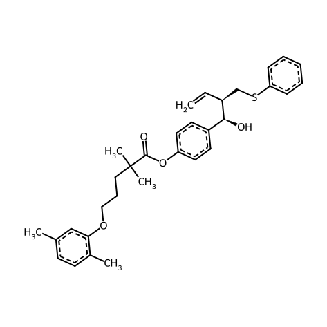 C=C[C@@H](CSc1ccccc1)[C@@H](O)c1ccc(OC(=O)C(C)(C)CCCOc2cc(C)ccc2C)cc1